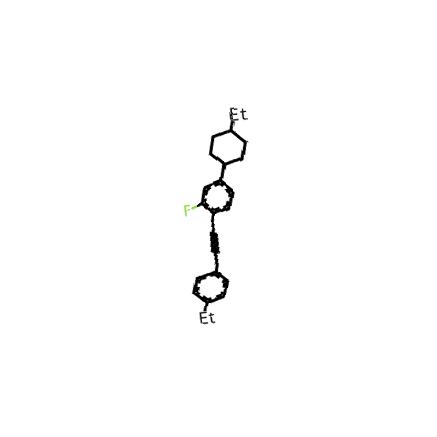 CCc1ccc(C#Cc2ccc(C3CCC(CC)CC3)cc2F)cc1